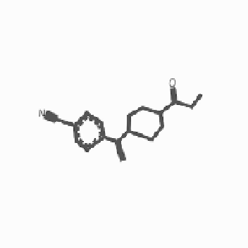 C=C(c1ccc(C#N)cc1)C1CCC(C(=O)CC)CC1